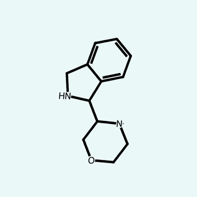 c1ccc2c(c1)CNC2C1COCC[N]1